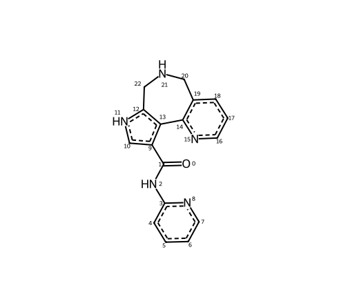 O=C(Nc1ccccn1)c1c[nH]c2c1-c1ncccc1CNC2